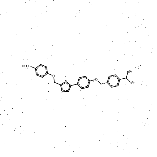 CCCC(CCC)c1ccc(COc2ccc(-c3csc(COc4ccc(C(=O)O)cc4)n3)cc2)cc1